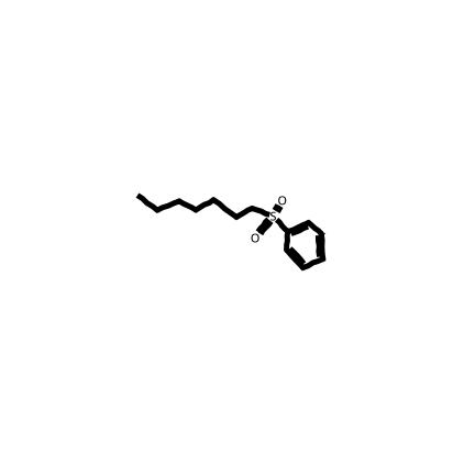 CCCCCCCS(=O)(=O)c1c[c]ccc1